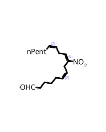 CCCCC/C=C\C/C=C(\C/C=C\CCCC[C]=O)[N+](=O)[O-]